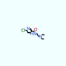 CCN(CC)CCNC(=O)c1ccc(Cl)nc1